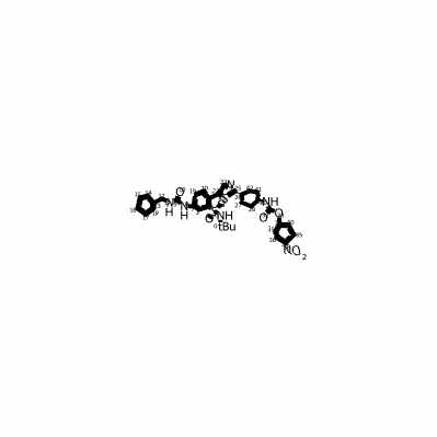 CC(C)(C)NS(=O)(=O)c1cc(NC(=O)NCc2ccccc2)ccc1-c1cnc([C@H]2CC[C@H](NC(=O)Oc3ccc([N+](=O)[O-])cc3)CC2)s1